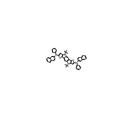 CC(C)(C)n1c2cc3c4sc(N(c5ccccc5)c5ccc6ccccc6c5)cc4n(C(C)(C)C)c3cc2c2sc(N(c3ccccc3)c3ccc4ccccc4c3)cc21